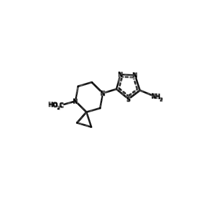 Nc1nnc(N2CCN(C(=O)O)C3(CC3)C2)s1